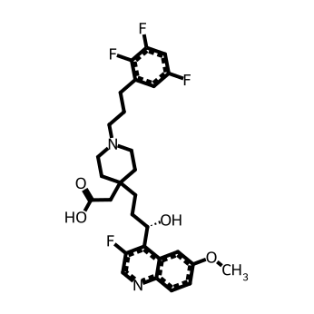 COc1ccc2ncc(F)c([C@@H](O)CCC3(CC(=O)O)CCN(CCCc4cc(F)cc(F)c4F)CC3)c2c1